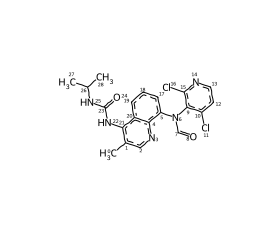 Cc1cnc2c(N(C=O)c3c(Cl)ccnc3Cl)cccc2c1NC(=O)NC(C)C